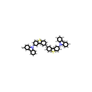 Cc1ccc2c(c1)c1ccccc1n2-c1ccc2sc3ccc(-c4ccc5sc6ccc(-n7c8ccccc8c8ccccc87)cc6c5c4)cc3c2c1